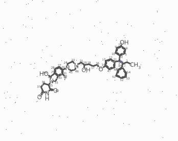 CC/C(=C(\c1ccc(O)cc1)c1ccc(OCCCC(O)CN2CCN(c3ccc4c(c3F)CN(C3CCC(=O)NC3=O)C4O)CC2)cc1)c1ccccc1